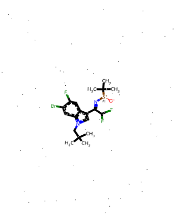 CC(C)(C)Cn1cc(C(=N[S@@+]([O-])C(C)(C)C)C(F)F)c2cc(F)c(Br)cc21